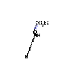 CCOC(=O)/C=C/C=C/c1ccc(NCCCCCCCCCCCCCC[Si](C)(C)C)cc1